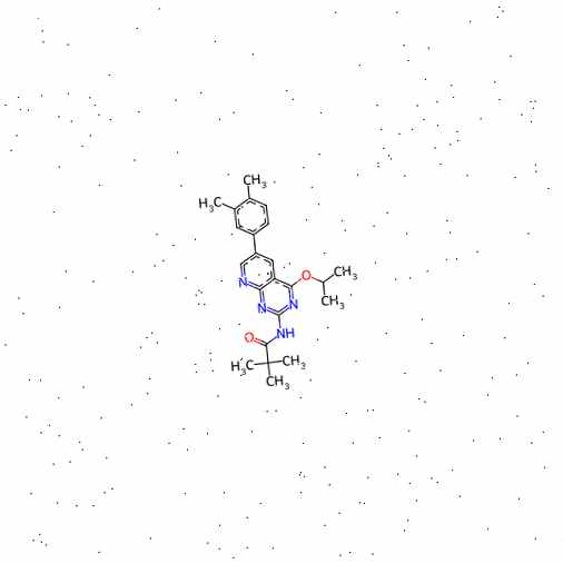 Cc1ccc(-c2cnc3nc(NC(=O)C(C)(C)C)nc(OC(C)C)c3c2)cc1C